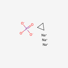 C1CC1.O=P([O-])([O-])[O-].[Na+].[Na+].[Na+]